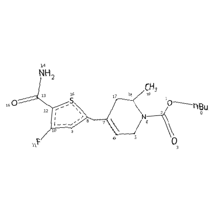 CCCCOC(=O)N1CC=C(c2cc(F)c(C(N)=O)s2)CC1C